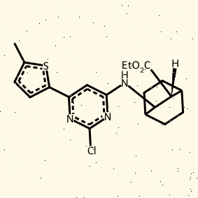 CCOC(=O)[C@@H]1C2CCC(CC2)C1Nc1cc(-c2ccc(C)s2)nc(Cl)n1